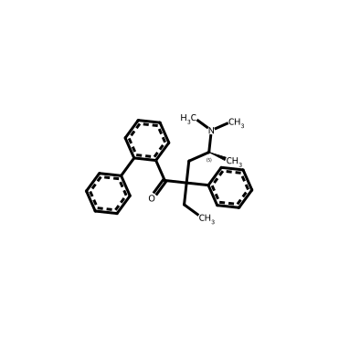 CCC(C[C@H](C)N(C)C)(C(=O)c1ccccc1-c1ccccc1)c1ccccc1